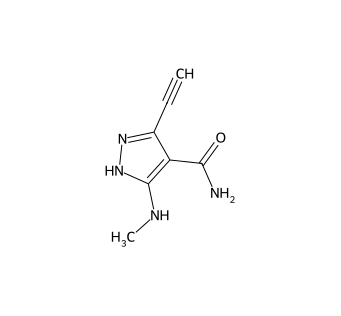 C#Cc1n[nH]c(NC)c1C(N)=O